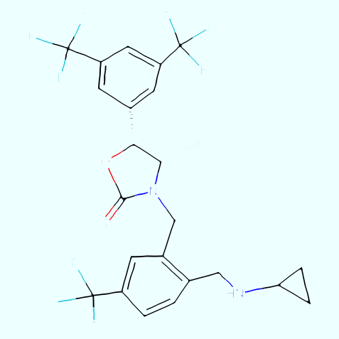 C[C@H]1[C@@H](c2cc(C(F)(F)F)cc(C(F)(F)F)c2)OC(=O)N1Cc1cc(C(F)(F)F)ccc1CNC1CC1